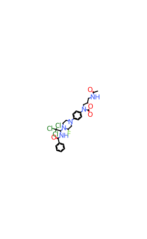 CC(=O)NCC1CN(c2ccc(N3CCN(C(NC(=O)c4ccccc4)C(Cl)(Cl)Cl)C(F)C3)cc2)C(=O)O1